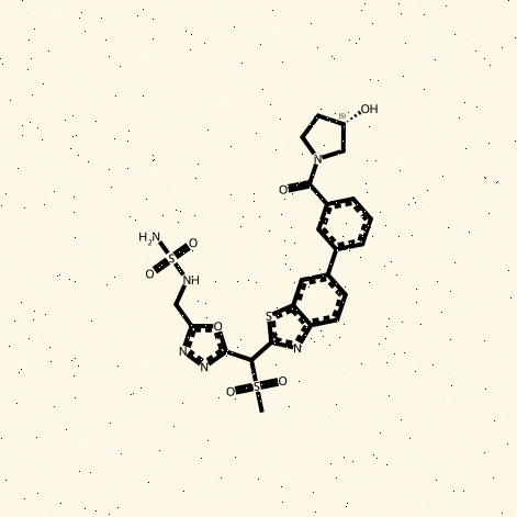 CS(=O)(=O)C(c1nnc(CNS(N)(=O)=O)o1)c1nc2ccc(-c3cccc(C(=O)N4CC[C@H](O)C4)c3)cc2s1